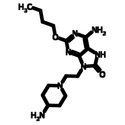 CCCCOc1nc(N)c2[nH]c(=O)n(CCN3CCC(N)CC3)c2n1